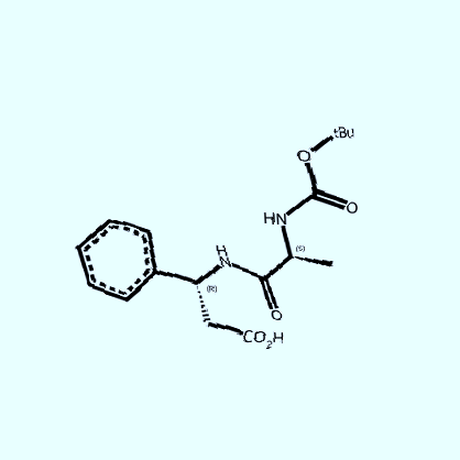 C[C@H](NC(=O)OC(C)(C)C)C(=O)N[C@H](CC(=O)O)c1ccccc1